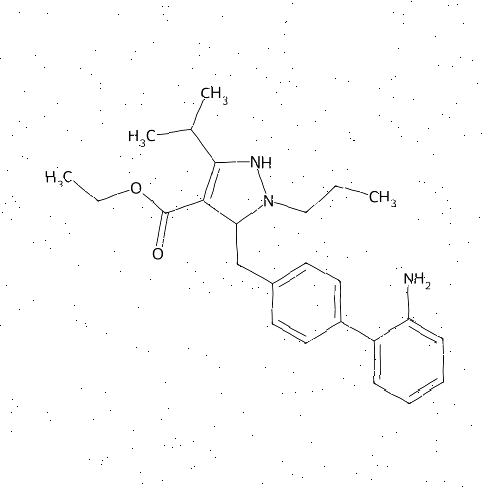 CCCN1NC(C(C)C)=C(C(=O)OCC)C1Cc1ccc(-c2ccccc2N)cc1